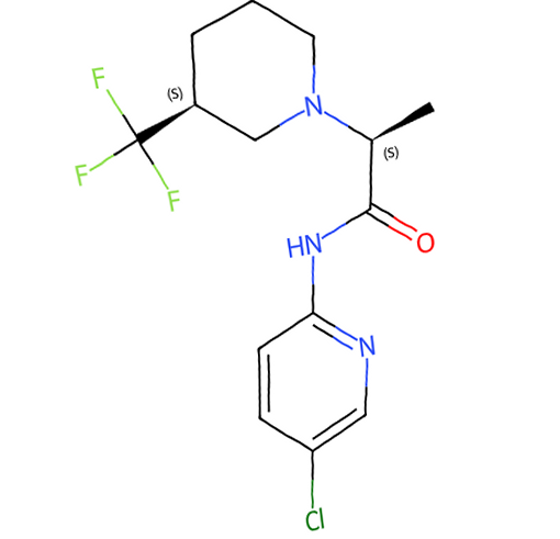 C[C@@H](C(=O)Nc1ccc(Cl)cn1)N1CCC[C@H](C(F)(F)F)C1